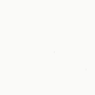 CCCCCCC(O)COc1ccccc1C(=O)c1ccccc1O